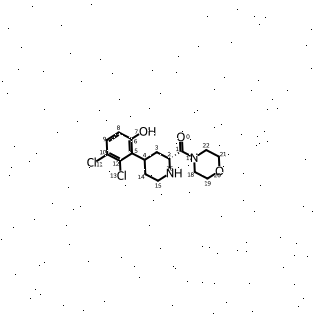 O=C([C@H]1CC(c2c(O)ccc(Cl)c2Cl)CCN1)N1CCOCC1